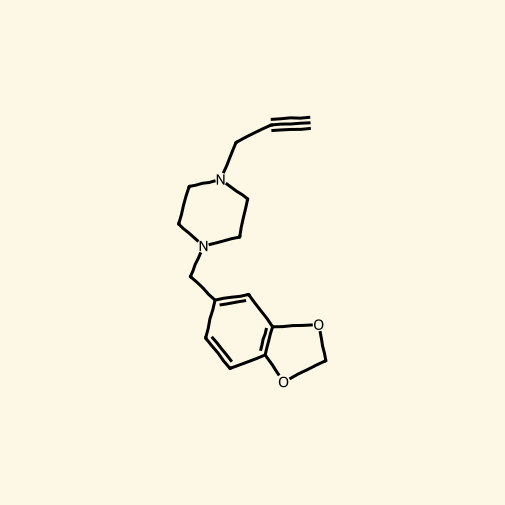 C#CCN1CCN(Cc2ccc3c(c2)OCO3)CC1